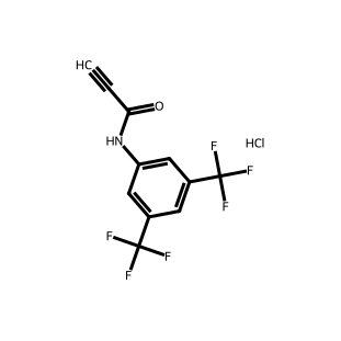 C#CC(=O)Nc1cc(C(F)(F)F)cc(C(F)(F)F)c1.Cl